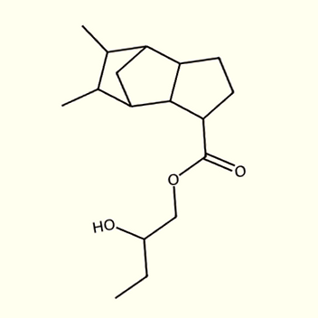 CCC(O)COC(=O)C1CCC2C3CC(C(C)C3C)C12